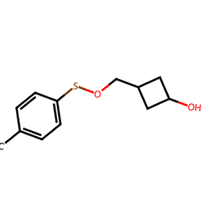 Cc1ccc(SOCC2CC(O)C2)cc1